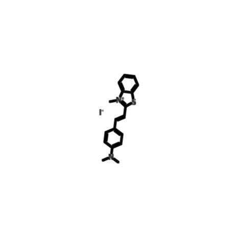 CN(C)c1ccc(/C=C/c2sc3ccccc3[n+]2C)cc1.[I-]